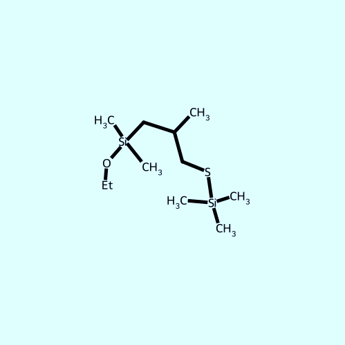 CCO[Si](C)(C)CC(C)CS[Si](C)(C)C